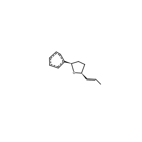 C/C=C/[C@@H]1CC[C@H](c2ccccc2)O1